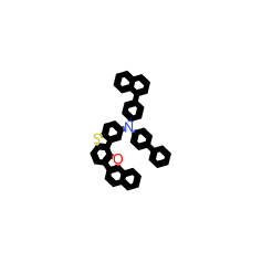 c1ccc(-c2ccc(N(c3ccc(-c4cccc5ccccc45)cc3)c3ccc4sc5ccc6c7ccc8ccccc8c7oc6c5c4c3)cc2)cc1